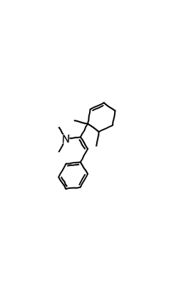 CC1CCC=CC1(C)C(=Cc1ccccc1)N(C)C